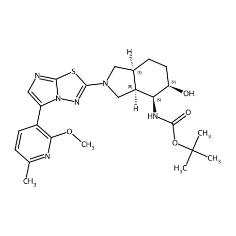 COc1nc(C)ccc1-c1cnc2sc(N3C[C@H]4CC[C@@H](O)[C@@H](NC(=O)OC(C)(C)C)[C@H]4C3)nn12